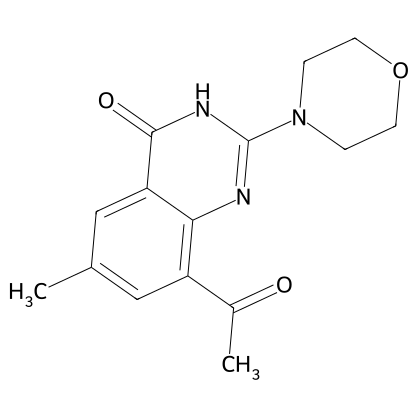 CC(=O)c1cc(C)cc2c(=O)[nH]c(N3CCOCC3)nc12